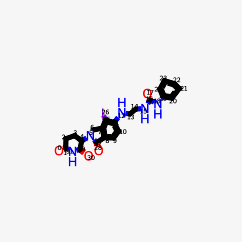 O=C1CCC(N2Cc3c(ccc(NCCNC(=O)Nc4ccccc4)c3I)C2=O)C(=O)N1